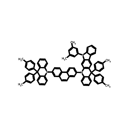 Cc1ccc(C2(c3ccc(C)cc3)c3ccccc3N(c3ccc4c(ccc5cc(N6c7ccccc7C(c7ccc(C)cc7)(c7ccc(C)cc7)c7cc8c9ccccc9n(-c9cc(C)cc(C)c9)c8cc76)ccc54)c3)c3ccccc32)cc1